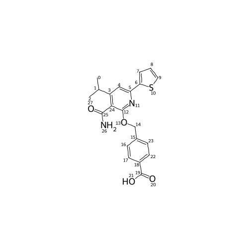 CC(C)c1cc(-c2cccs2)nc(OCc2ccc(C(=O)O)cc2)c1C(N)=O